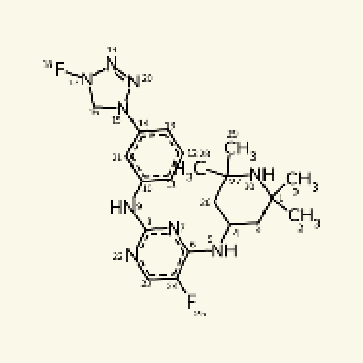 CC1(C)CC(Nc2nc(Nc3cccc(N4CN(F)N=N4)c3)ncc2F)CC(C)(C)N1